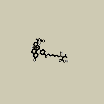 CC(=O)O[C@]1(C(C)=O)CC[C@H]2[C@@H]3CCC4=CC(=O)CCC4=C3[C@@H](c3ccc(N(C)CCCCCCN[C@H](C(=O)O)C(C)C)cc3)C[C@@]21C